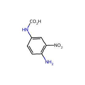 Nc1ccc(NC(=O)O)cc1[N+](=O)[O-]